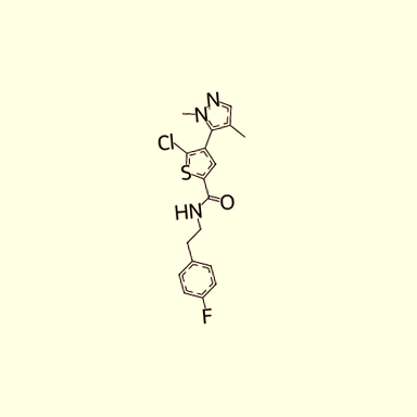 Cc1cnn(C)c1-c1cc(C(=O)NCCc2ccc(F)cc2)sc1Cl